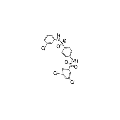 O=S(=O)(Nc1cccc(Cl)c1)c1ccc(NS(=O)(=O)c2cc(Cl)cc(Cl)c2)cc1